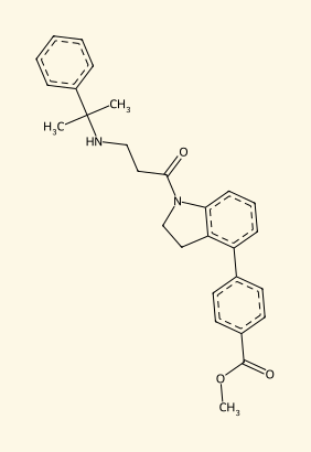 COC(=O)c1ccc(-c2cccc3c2CCN3C(=O)CCNC(C)(C)c2ccccc2)cc1